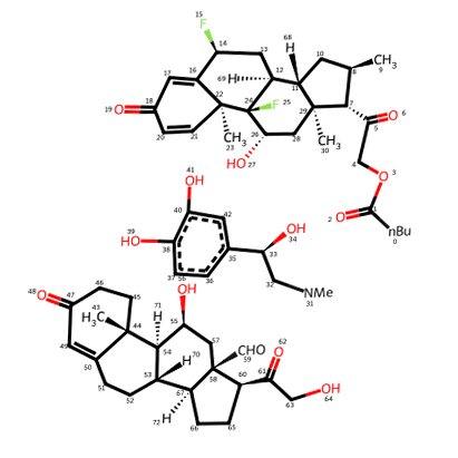 CCCCC(=O)OCC(=O)[C@H]1[C@H](C)C[C@H]2[C@@H]3C[C@H](F)C4=CC(=O)C=C[C@]4(C)[C@@]3(F)[C@@H](O)C[C@@]21C.CNC[C@H](O)c1ccc(O)c(O)c1.C[C@]12CCC(=O)C=C1CC[C@@H]1[C@@H]2[C@@H](O)C[C@]2(C=O)[C@@H](C(=O)CO)CC[C@@H]12